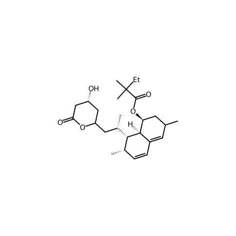 CCC(C)(C)C(=O)O[C@H]1CC(C)C=C2C=C[C@H](C)[C@H]([C@@H](C)CC3C[C@@H](O)CC(=O)O3)[C@H]21